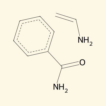 C=CN.NC(=O)c1ccccc1